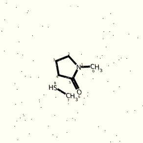 CN1CCCC1=O.CS